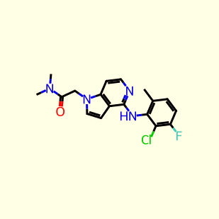 Cc1ccc(F)c(Cl)c1Nc1nccc2c1ccn2CC(=O)N(C)C